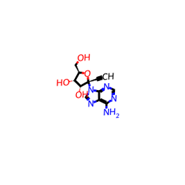 C#C[C@]1(n2cnc3c(N)ncnc32)O[C@H](CO)[C@@H](O)[C@H]1O